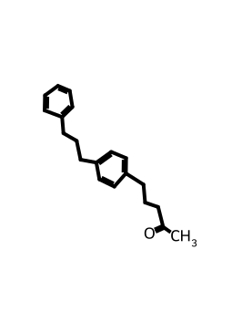 CC(=O)CCCc1ccc(CCCc2ccccc2)cc1